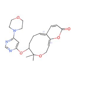 CC1(C)OC/C=c2/oc(=O)cc/c2=C/CCC1Oc1cc(N2CCOCC2)ncn1